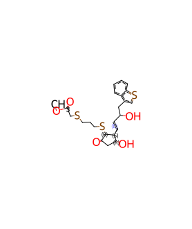 COC(=O)CSCCCS[C@H]1C(=O)C[C@@H](O)[C@@H]1/C=C/C(O)Cc1csc2ccccc12